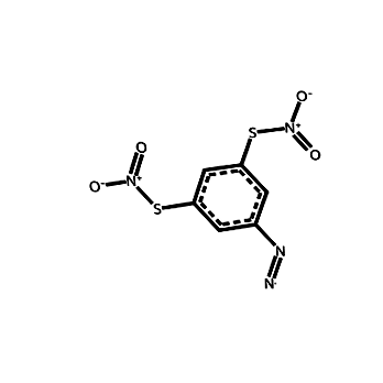 [N]=Nc1cc(S[N+](=O)[O-])cc(S[N+](=O)[O-])c1